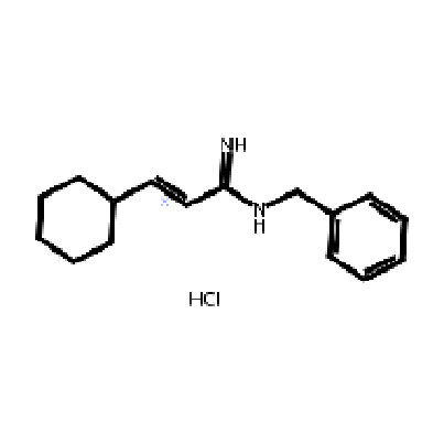 Cl.N=C(/C=C/C1CCCCC1)NCc1ccccc1